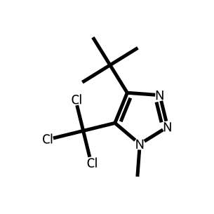 Cn1nnc(C(C)(C)C)c1C(Cl)(Cl)Cl